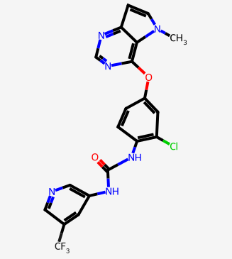 Cn1ccc2ncnc(Oc3ccc(NC(=O)Nc4cncc(C(F)(F)F)c4)c(Cl)c3)c21